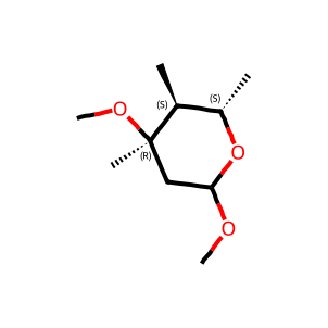 COC1C[C@@](C)(OC)[C@@H](C)[C@H](C)O1